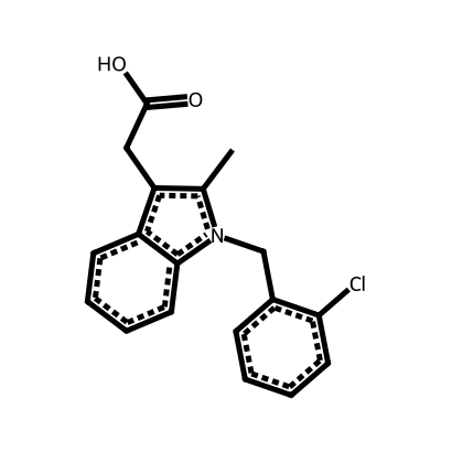 Cc1c(CC(=O)O)c2ccccc2n1Cc1ccccc1Cl